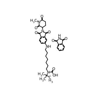 CN1C(=O)CCC(N2C(=O)c3ccc(NCCCCCCCN(C(=O)O)C(C)(C)C)cc3C2=O)C1=O.O=C1NC(=O)c2ccccc21